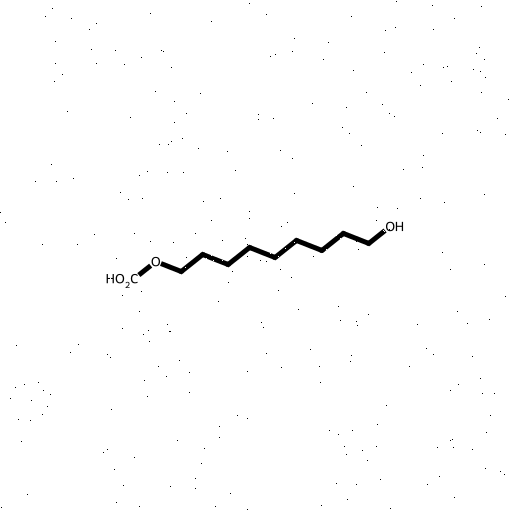 O=C(O)OCCCCCCCCCO